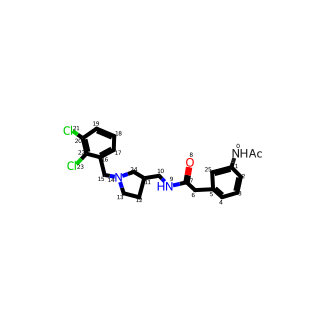 CC(=O)Nc1cccc(CC(=O)NCC2CCN(Cc3cccc(Cl)c3Cl)C2)c1